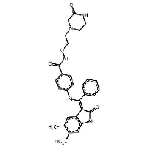 Cc1cc2c(cc1C(=O)O)NC(=O)C2=C(Nc1ccc(C(=O)NOCCN2CCNC(=O)C2)cc1)c1ccccc1